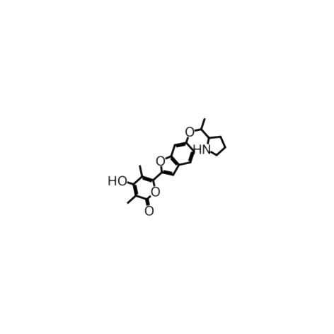 Cc1c(-c2cc3ccc(OC(C)C4CCCN4)cc3o2)oc(=O)c(C)c1O